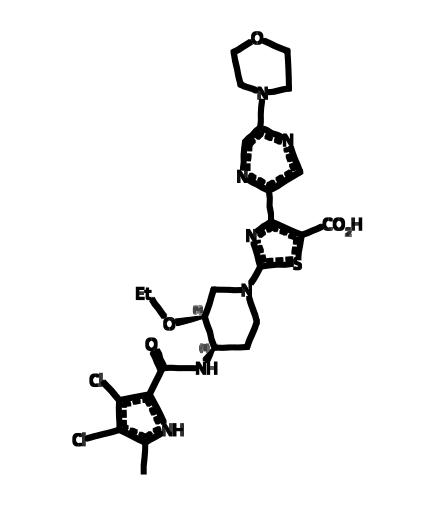 CCO[C@H]1CN(c2nc(-c3cnc(N4CCOCC4)cn3)c(C(=O)O)s2)CC[C@H]1NC(=O)c1[nH]c(C)c(Cl)c1Cl